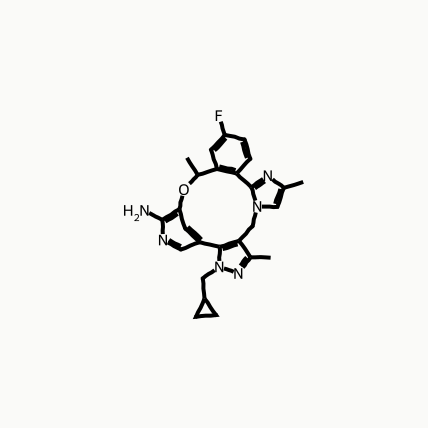 Cc1cn2c(n1)-c1ccc(F)cc1C(C)Oc1cc(cnc1N)-c1c(c(C)nn1CC1CC1)C2